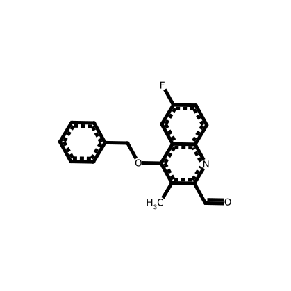 Cc1c(C=O)nc2ccc(F)cc2c1OCc1ccccc1